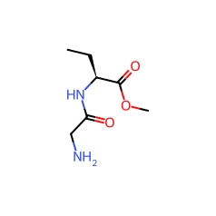 CC[C@H](NC(=O)CN)C(=O)OC